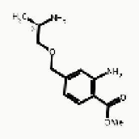 COC(=O)c1ccc(COC[C@@H](C)N)cc1N